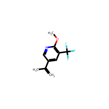 C=C(C)c1cnc(OC)c(C(F)(F)F)c1